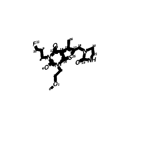 COCCn1c(=O)n(CCCF)c(=O)c2c(C)c(CN3CCNC3=O)sc21